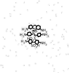 Nc1ccc(-c2ccc(N)cc2S(=O)(=O)O)c(S(=O)(=O)O)c1.Nc1ccc(N=Nc2ccc(N)cc2)cc1.Nc1ccc2c(c1)S(=O)(=O)c1cc(N)ccc1C2